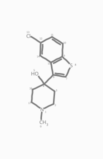 CN1CCC(O)(c2csc3ccc(Cl)cc23)CC1